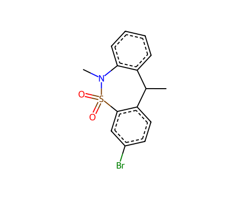 CC1c2ccccc2N(C)S(=O)(=O)c2cc(Br)ccc21